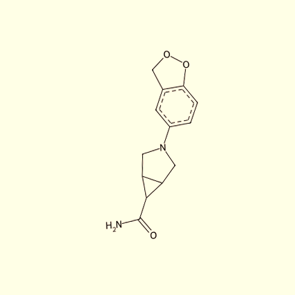 NC(=O)C1C2CN(c3ccc4c(c3)COO4)CC21